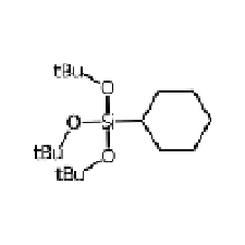 CC(C)(C)O[Si](OC(C)(C)C)(OC(C)(C)C)C1CCCCC1